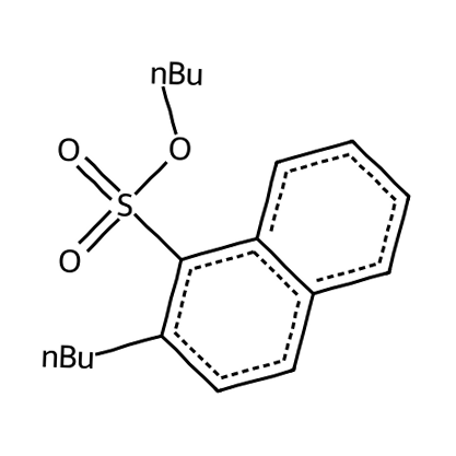 CCCCOS(=O)(=O)c1c(CCCC)ccc2ccccc12